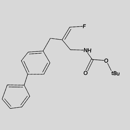 CC(C)(C)OC(=O)NC/C(=C\F)Cc1ccc(-c2ccccc2)cc1